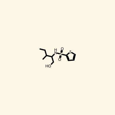 CCC(C)C(CO)NS(=O)(=O)c1cccs1